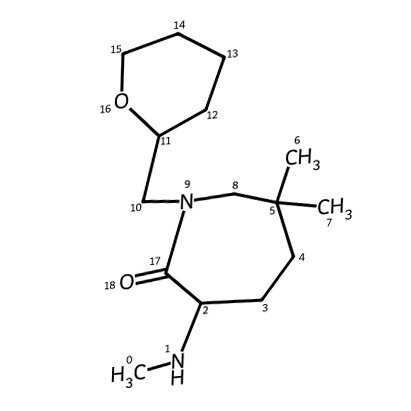 CNC1CCC(C)(C)CN(CC2CCCCO2)C1=O